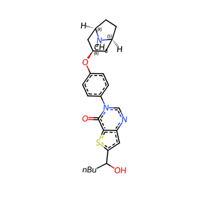 CCCCC(O)c1cc2ncn(-c3ccc(O[C@H]4C[C@H]5CC[C@@H](C4)N5C)cc3)c(=O)c2s1